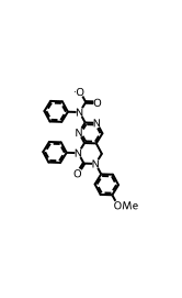 COc1ccc(N2Cc3cnc(N(C([O])=O)c4ccccc4)nc3N(c3ccccc3)C2=O)cc1